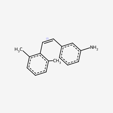 Cc1cccc(C)c1/C=C\c1cccc(N)c1